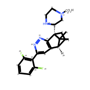 CC1(C)[C@H]2CC[C@]1(C1CN(C(=O)O)CCN1)c1nnc(-c3c(F)cccc3F)cc12